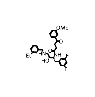 CCc1cccc(CNC[C@@H](O)[C@H](Cc2cc(F)cc(F)c2)NC(=O)CCC(=O)c2cccc(OC)c2)c1